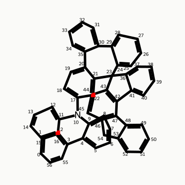 c1ccc(-c2ccccc2N(c2ccccc2)c2ccc3c(c2)C2(c4ccccc4-c4ccccc4-3)c3ccccc3-c3c2ccc2c3-c3ccccc3C2)cc1